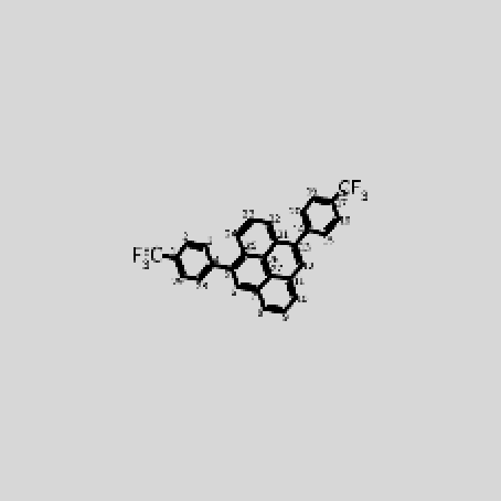 FC(F)(F)c1ccc(-c2cc3cccc4cc(-c5ccc(C(F)(F)F)cc5)c5cccc2c5c34)cc1